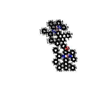 c1ccc(Cc2c3ccc(-c4ccc5c(c4)oc4c6c7c(cc45)N(c4cc(-c5ccccc5)cc(-c5ccccc5)c4)c4cc5c(Cc8ccccc8)c8ccccc8c(Cc8ccccc8)c5cc4B7n4c5ccccc5c5cccc-6c54)cc3c(Cc3ccccc3)c3cc4c(cc23)B2c3c(cc5ccccc5c3-c3cccc5c6ccccc6n2c35)N4c2cc(-c3ccccc3)cc(-c3ccccc3)c2)cc1